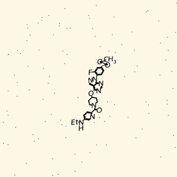 CCNc1ccc(C(=O)N2CCC(Oc3ncnc4c3cnn4-c3ccc(S(C)(=O)=O)cc3F)CC2)nc1